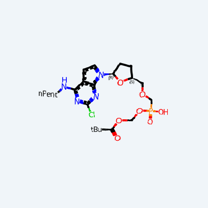 CCCCCNc1nc(Cl)nc2c1ccn2[C@H]1CC[C@@H](COCP(=O)(O)OCOC(=O)C(C)(C)C)O1